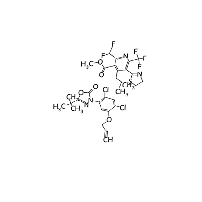 C#CCOc1cc(-n2nc(C(C)(C)C)oc2=O)c(Cl)cc1Cl.COC(=O)c1c(C(F)F)nc(C(F)(F)F)c(C2=NCCS2)c1CC(C)C